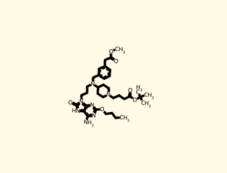 CCCCOc1nc(N)c2[nH]c(=O)n(CCCN(Cc3cccc(CC(=O)OC)c3)C3CCN(CCCC(=O)OC(C)(C)C)CC3)c2n1